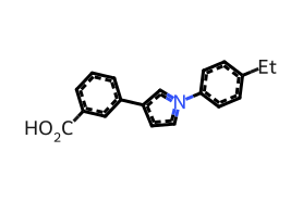 CCc1ccc(-n2ccc(-c3cccc(C(=O)O)c3)c2)cc1